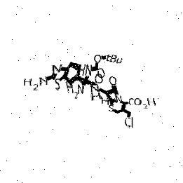 CC(C)(C)OC(=O)NC(N)(C(=O)NC1C(=O)N2C(C(=O)O)=C(CCl)CS[C@@H]12)c1ccc2nc(N)sc2c1